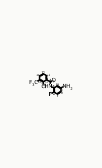 Nc1ccc(F)c(NC(=O)c2cccc(C(F)(F)F)c2Cl)c1